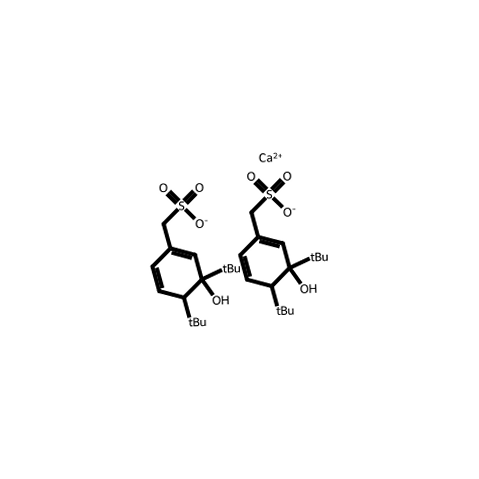 CC(C)(C)C1C=CC(CS(=O)(=O)[O-])=CC1(O)C(C)(C)C.CC(C)(C)C1C=CC(CS(=O)(=O)[O-])=CC1(O)C(C)(C)C.[Ca+2]